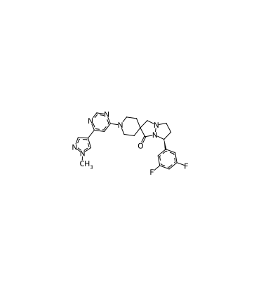 Cn1cc(-c2cc(N3CCC4(CC3)CN3CC[C@@H](c5cc(F)cc(F)c5)N3C4=O)ncn2)cn1